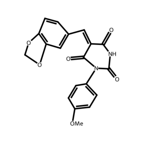 COc1ccc(N2C(=O)NC(=O)C(=Cc3ccc4c(c3)OCO4)C2=O)cc1